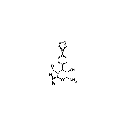 CCc1nn(C(C)C)c2c1C(c1ccc(-n3ccnc3)cc1)C(C#N)=C(N)O2